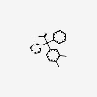 Cc1ccc(C(C(=O)C(C)(C)C)(c2ccccc2)n2cncn2)cc1C